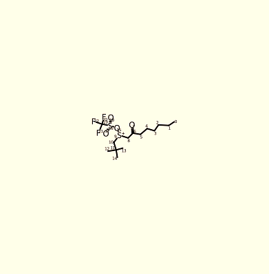 CCCCCCC(=O)C[S+](CC(C)(C)C)OS(=O)(=O)C(F)(F)F